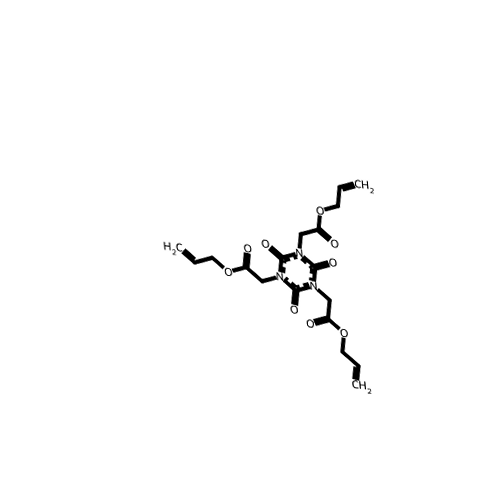 C=CCOC(=O)Cn1c(=O)n(CC(=O)OCC=C)c(=O)n(CC(=O)OCC=C)c1=O